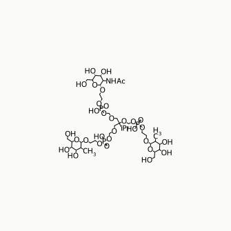 CC(=O)NC1[C@H](OCCOP(=O)(O)OCOCC(COCOP(=O)(O)OCCO[C@@H]2OC(CO)[C@H](O)[C@H](O)C2C)(OCOP(=O)(O)OCCO[C@@H]2OC(CO)[C@H](O)[C@H](O)C2C)C(C)C)OC(CO)[C@H](O)[C@@H]1O